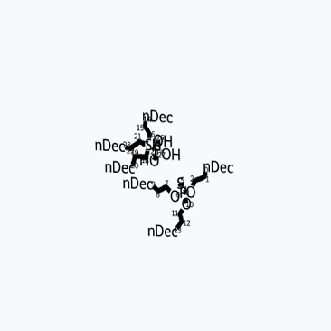 CCCCCCCCCCCCOP(=S)(OCCCCCCCCCCCC)OCCCCCCCCCCCC.CCCCCCCCCCCC[SH](CCCCCCCCCCCC)(CCCCCCCCCCCC)=P(O)(O)O